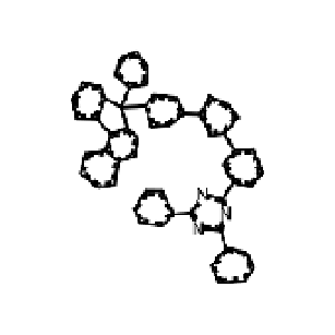 c1ccc(-c2nc(-c3ccccc3)nc(-c3cccc(-c4cccc(-c5ccc(C6(c7ccccc7)c7ccccc7-c7c6ccc6ccccc76)cc5)c4)c3)n2)cc1